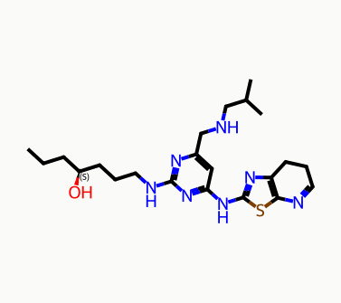 CCC[C@H](O)CCCNc1nc(CNCC(C)C)cc(Nc2nc3c(s2)N=CCC3)n1